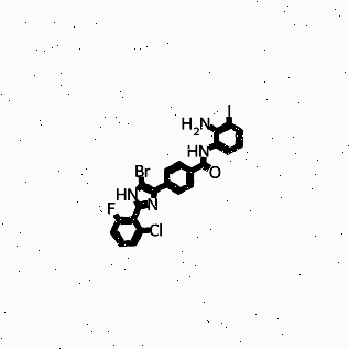 Nc1c(I)cccc1NC(=O)c1ccc(-c2nc(-c3c(F)cccc3Cl)[nH]c2Br)cc1